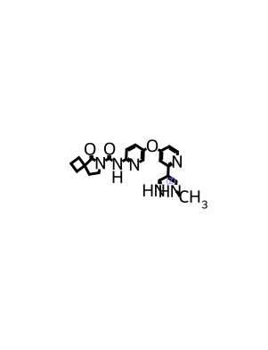 CN/C=C(\C=N)c1cc(Oc2ccc(NC(=O)N3CCC4(CCC4)C3=O)nc2)ccn1